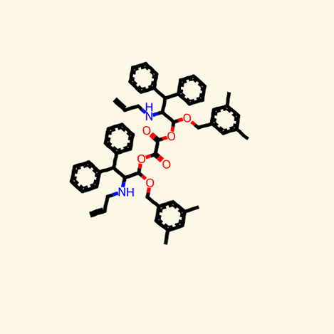 C=CCNC(C(OCc1cc(C)cc(C)c1)OC(=O)C(=O)OC(OCc1cc(C)cc(C)c1)C(NCC=C)C(c1ccccc1)c1ccccc1)C(c1ccccc1)c1ccccc1